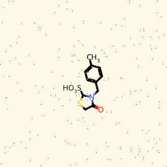 Cc1ccc(CN2C(=O)CSC2S(=O)(=O)O)cc1